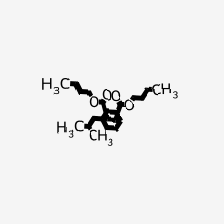 CCCCOC(=O)C1C2CCC(CC(C)C)(CC2)C1C(=O)OCCCC